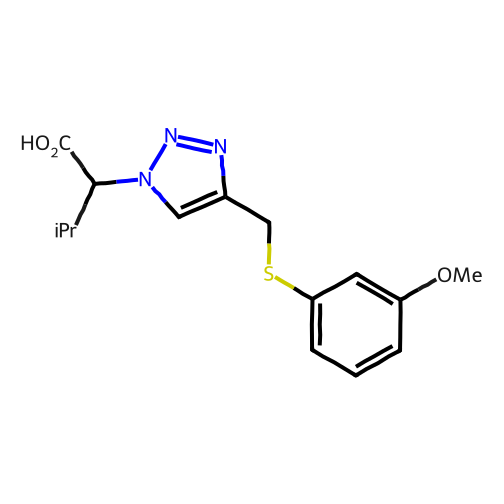 COc1cccc(SCc2cn(C(C(=O)O)C(C)C)nn2)c1